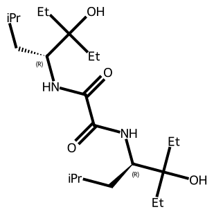 CCC(O)(CC)[C@@H](CC(C)C)NC(=O)C(=O)N[C@H](CC(C)C)C(O)(CC)CC